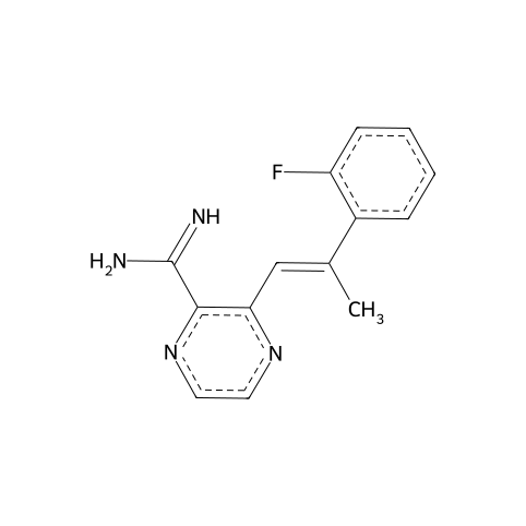 C/C(=C\c1nccnc1C(=N)N)c1ccccc1F